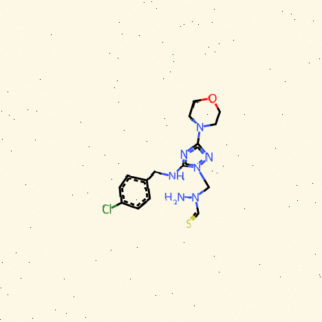 NN(C=S)Cn1nc(N2CCOCC2)nc1NCc1ccc(Cl)cc1